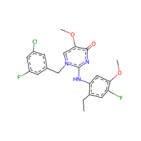 CCc1cc(F)c(OC)cc1Nc1nc(=O)c(OC)cn1Cc1cc(F)cc(Cl)c1